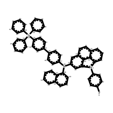 Fc1ccc(-n2c3cccc4ccc5cc(N(c6ccc(-c7ccc([Si](c8ccccc8)(c8ccccc8)c8ccccc8)cc7)cc6)c6cccc7ccccc67)cc2c5c43)cc1